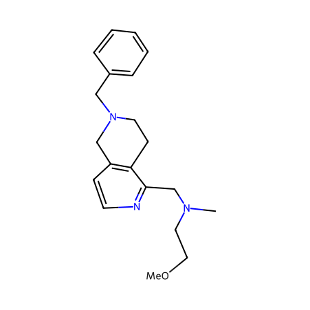 COCCN(C)Cc1nccc2c1CCN(Cc1ccccc1)C2